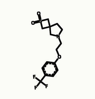 O=S1(=O)CC2(CCN(CCOc3ccc(C(F)(F)F)cc3)C2)C1